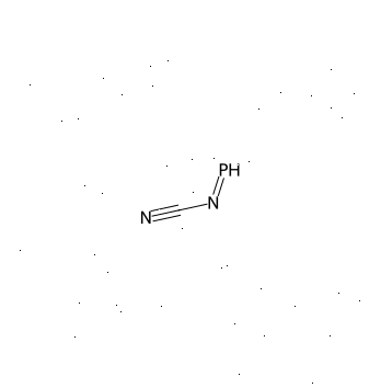 N#CN=P